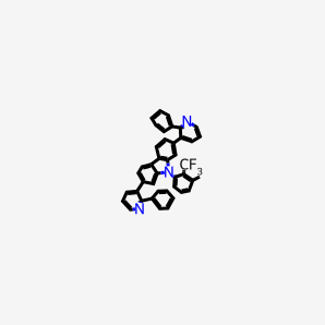 Cc1cccc(-n2c3cc(-c4cccnc4-c4ccccc4)ccc3c3ccc(-c4cccnc4-c4ccccc4)cc32)c1C(F)(F)F